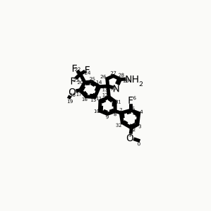 COc1ccc(F)c(-c2cccc(C3(c4ccc(OC)c(C(F)(F)F)c4)CCC(N)=N3)c2)c1